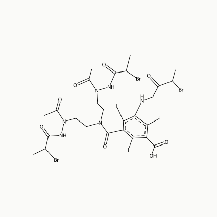 CC(=O)N(CCN(CCN(NC(=O)C(C)Br)C(C)=O)C(=O)c1c(I)c(NCC(=O)C(C)Br)c(I)c(C(=O)O)c1I)NC(=O)C(C)Br